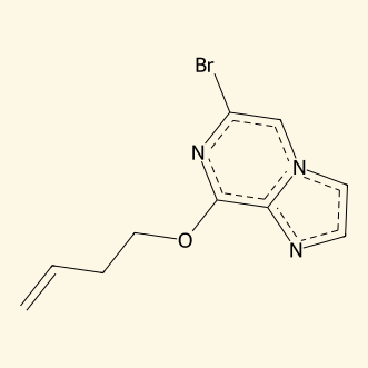 C=CCCOc1nc(Br)cn2ccnc12